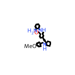 C=C/C=C(C#CC1(NCc2ccc(OC)cc2)CCCCC1)\C=C/CC(=O)Nc1ccccc1N